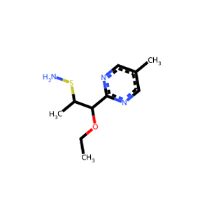 CCOC(c1ncc(C)cn1)C(C)SN